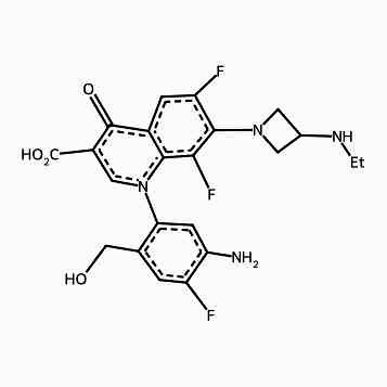 CCNC1CN(c2c(F)cc3c(=O)c(C(=O)O)cn(-c4cc(N)c(F)cc4CO)c3c2F)C1